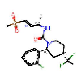 C[C@@H](/C=C/S(C)(=O)=O)NC(=O)N1CC[C@H](C(C)(F)F)C[C@@H]1c1ccccc1F